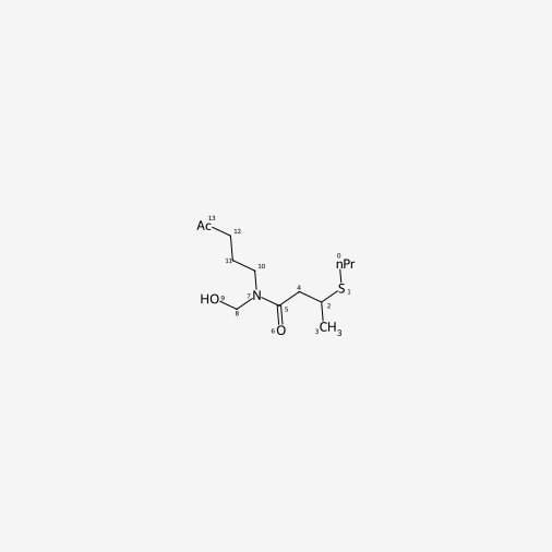 CCCSC(C)CC(=O)N(CO)CCCC(C)=O